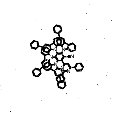 N#Cc1c(-c2cc(-c3ccccc3)nc(-c3ccccc3)n2)c(-n2c3ccccc3c3cc(-c4ccccc4)ccc32)c(-n2c3ccccc3c3cc(-c4ccccc4)ccc32)c(-n2c3ccccc3c3cc(-c4ccccc4)ccc32)c1-n1c2ccccc2c2cc(-c3ccccc3)ccc21